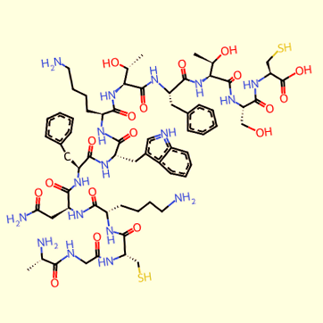 C[C@H](N)C(=O)NCC(=O)N[C@@H](CS)C(=O)N[C@@H](CCCCN)C(=O)N[C@@H](CC(N)=O)C(=O)N[C@@H](Cc1ccccc1)C(=O)N[C@@H](Cc1c[nH]c2ccccc12)C(=O)N[C@@H](CCCCN)C(=O)N[C@H](C(=O)N[C@@H](Cc1ccccc1)C(=O)N[C@H](C(=O)N[C@@H](CO)C(=O)N[C@@H](CS)C(=O)O)[C@@H](C)O)[C@@H](C)O